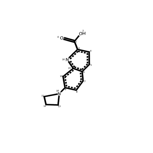 O=C(O)c1ccc2ccc(N3CCC3)cc2n1